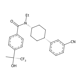 CCN(C(=O)c1ccc([C@](C)(O)C(F)(F)F)cc1)[C@H]1CC[C@@H](c2cccc(C#N)c2)CC1